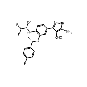 C[C@H](Oc1cc(-c2n[nH]c(N)c2C=O)ccc1N[S+]([O-])C(F)F)c1ccc(F)cc1